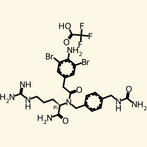 N=C(N)NCCC[C@H](C(N)=O)N(Cc1ccc(CNC(N)=O)cc1)C(=O)Cc1cc(Br)c(N)c(Br)c1.O=C(O)C(F)(F)F